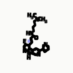 CN(C)CCCCNC(=O)/C=C/c1c(F)cnc2[nH]c3cnc(-c4cccnc4)cc3c12